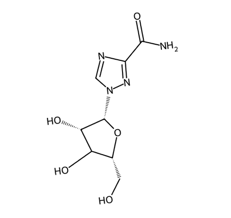 NC(=O)c1ncn([C@@H]2O[C@H](CO)C(O)[C@@H]2O)n1